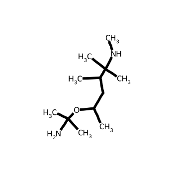 CNC(C)(C)C(C)CC(C)OC(C)(C)N